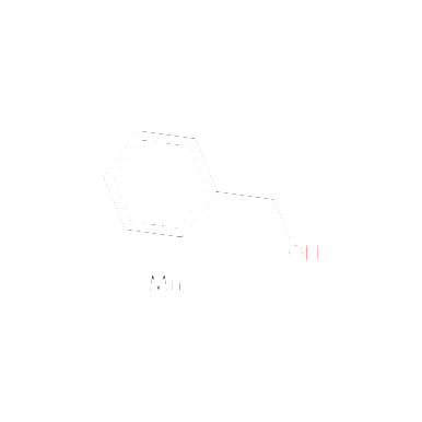 OCc1ccccc1.[Mn]